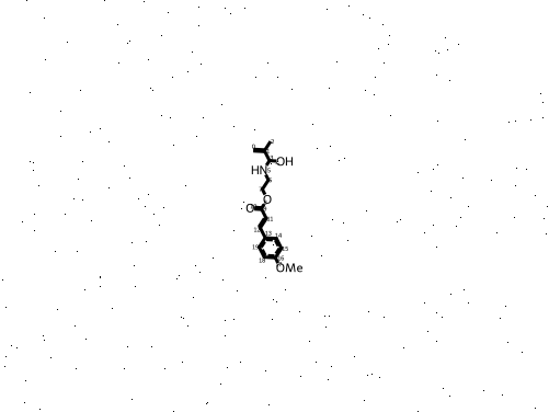 C=C(C)C(O)NCCOC(=O)/C=C/c1ccc(OC)cc1